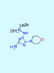 CSN(C=O)Nn1nc(N)nc1N1CCOCC1